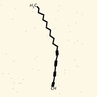 C#CC#CC#CC#CCCCCCCCCCCCC